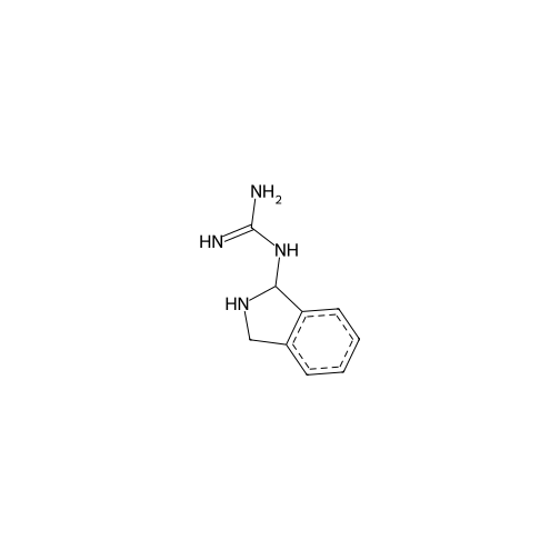 N=C(N)NC1NCc2ccccc21